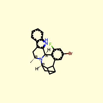 C[C@@H]1Cc2c([nH]c3ccccc23)[C@H]2c3c(F)cc(Br)cc3C3C4CC3[C@@H](C4)N21